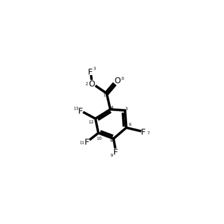 O=C(OF)c1cc(F)c(F)c(F)c1F